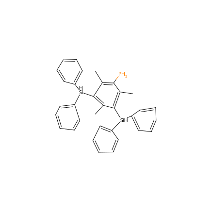 Cc1c(P)c(C)c([SiH](c2ccccc2)c2ccccc2)c(C)c1[SiH](c1ccccc1)c1ccccc1